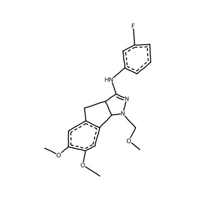 COCN1N=C(Nc2cccc(F)c2)C2Cc3cc(OC)c(OC)cc3C21